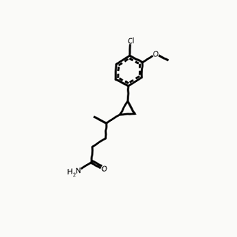 COc1cc(C2CC2C(C)CCC(N)=O)ccc1Cl